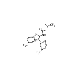 CC(CC(=O)Nc1nc2ccc(C(F)(F)F)cn2c1-c1cc(C(F)(F)F)ccn1)C(F)(F)F